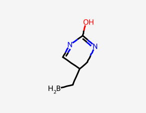 BCC1C=NC(O)=NC1